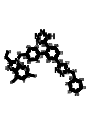 CCc1nc2c(C)cc(C)nc2n1Cc1ccc(-c2cc(-c3cn(Cc4ccccc4)nn3)ccc2-c2nnn[nH]2)cc1